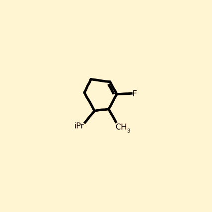 CC(C)C1CCC=C(F)C1C